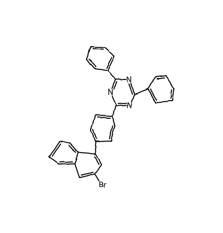 Brc1cc(-c2ccc(-c3nc(-c4ccccc4)nc(-c4ccccc4)n3)cc2)c2ccccc2c1